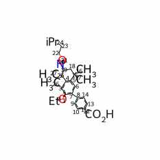 CCOc1cc2c(cc1-c1ccc(C(=O)O)cc1)C(C)(C)CC(=NOCCC(C)C)C2(C)C